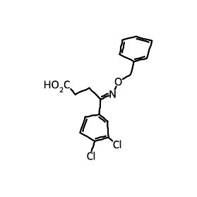 O=C(O)CC/C(=N\OCc1ccccc1)c1ccc(Cl)c(Cl)c1